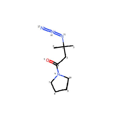 CC(C)(CC(=O)N1CCCC1)N=[N+]=[N-]